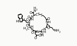 CC1NC(=O)C(CC(=O)O)NC(=O)CNC(=O)C(CCCCN)NC(=O)CCSSCC(C(N)=O)NC(=O)C(C)N(CCc2c[nH]c3ccccc23)C1=O